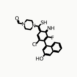 N=C1C(F)=C(c2cc(O)cc3ccccc23)C(Cl)=C/C1=C(/S)N1CCN(C=O)CC1